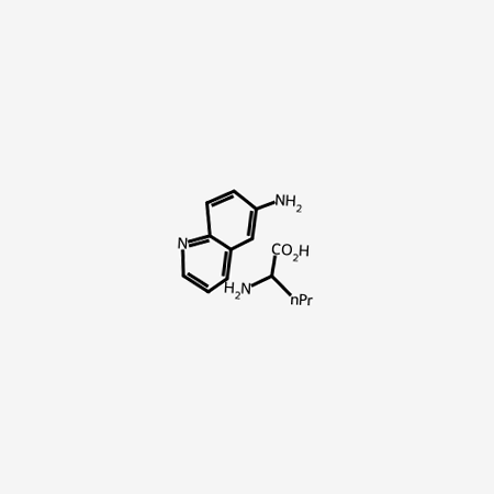 CCCC(N)C(=O)O.Nc1ccc2ncccc2c1